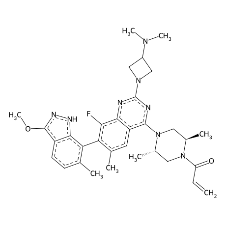 C=CC(=O)N1C[C@H](C)N(c2nc(N3CC(N(C)C)C3)nc3c(F)c(-c4c(C)ccc5c(OC)n[nH]c45)c(C)cc23)C[C@H]1C